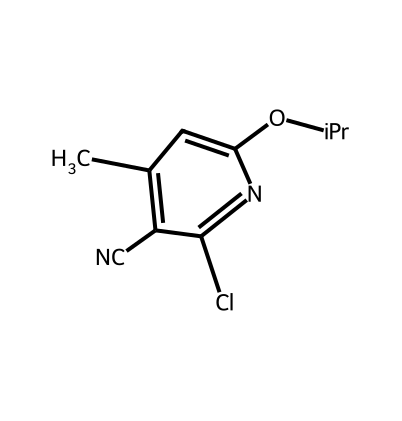 Cc1cc(OC(C)C)nc(Cl)c1C#N